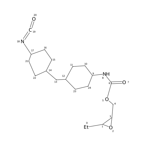 CCC1OC1COC(=O)NC1CCC(CC2CCC(N=C=O)CC2)CC1